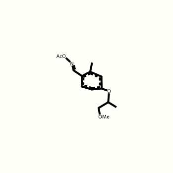 COCC(C)Oc1ccc(C=NOC(C)=O)c(C)c1